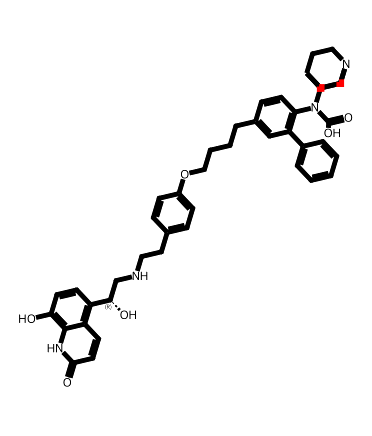 O=C(O)N(c1ccc(CCCCOc2ccc(CCNC[C@H](O)c3ccc(O)c4[nH]c(=O)ccc34)cc2)cc1-c1ccccc1)C1CN2CCC1CC2